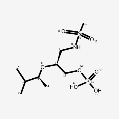 CC(C)[C@H](C)O[C@@H](CNS(C)(=O)=O)COP(=O)(O)O